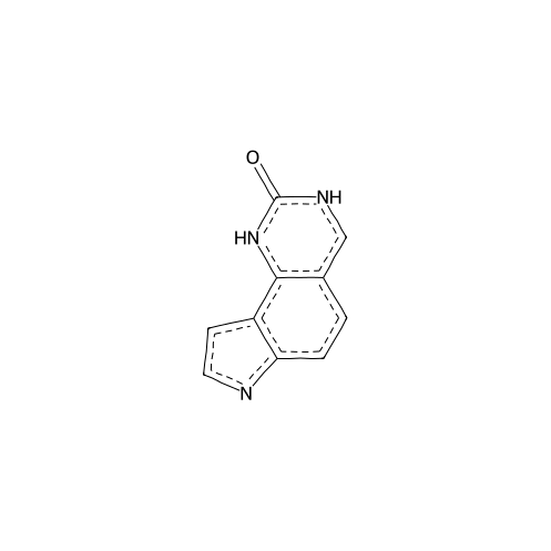 O=c1[nH]cc2ccc3nccc3c2[nH]1